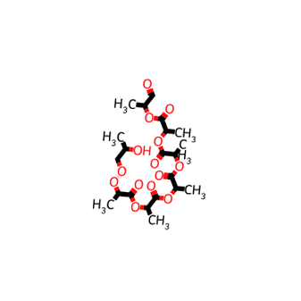 CC(O)COOC(C)C(=O)OC(C)C(=O)OC(C)C(=O)OC(C)C(=O)OC(C)C(=O)OC(C)C=O